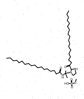 CCCCCCCCCCCCCCCCCC(=O)NC(C)(C)N1CCNC1C(=O)CCCCCCCCCCCCCCCCC.COS(=O)(=O)O